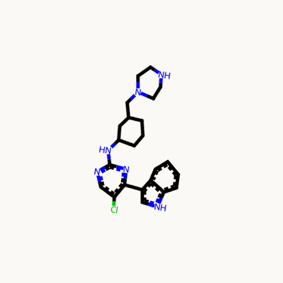 Clc1cnc(NC2CCCC(CN3CCNCC3)C2)nc1-c1c[nH]c2ccccc12